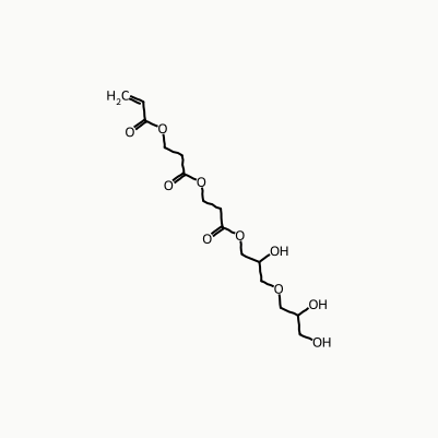 C=CC(=O)OCCC(=O)OCCC(=O)OCC(O)COCC(O)CO